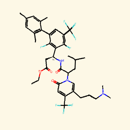 CCOC(=O)C[C@H](NC(=O)C(CC(C)C)n1cc(CCCN(C)C)c(C(F)(F)F)cc1=O)c1c(F)c(-c2c(C)cc(C)cc2C)cc(C(F)(F)F)c1F